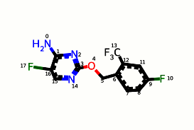 Nc1nc(OCc2ccc(F)cc2C(F)(F)F)ncc1F